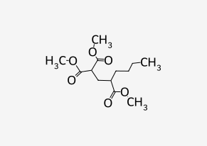 CCCCC(CC(C(=O)OC)C(=O)OC)C(=O)OC